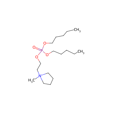 CCCCCOP(=O)(OCCCCC)OCC[N+]1(C)CCCC1